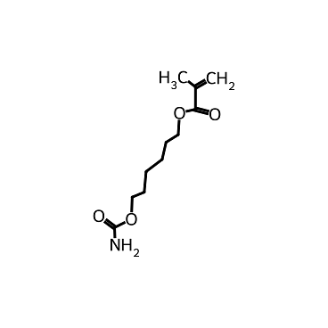 C=C(C)C(=O)OCCCCCCOC(N)=O